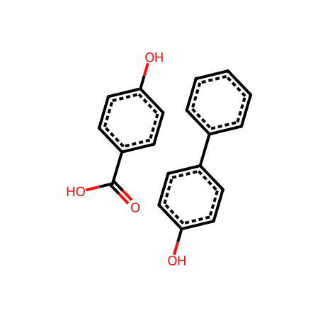 O=C(O)c1ccc(O)cc1.Oc1ccc(-c2ccccc2)cc1